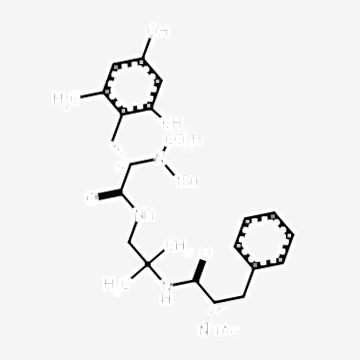 CC(=O)N[C@@H](Cc1ccccc1)C(=O)NC(C)(C)CNC(=O)[C@H](Cc1c(C)cc(O)cc1C)N(C(=O)O)C(C)(C)C